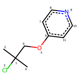 CC(C)(Cl)COc1ccncc1